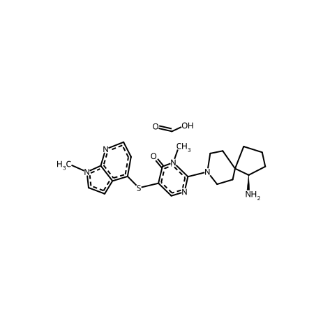 Cn1c(N2CCC3(CCC[C@H]3N)CC2)ncc(Sc2ccnc3c2ccn3C)c1=O.O=CO